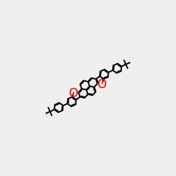 CC(C)(C)c1ccc(-c2ccc3c(c2)oc2c3cc3ccc4c5oc6cc(-c7ccc(C(C)(C)C)cc7)ccc6c5cc5ccc2c3c54)cc1